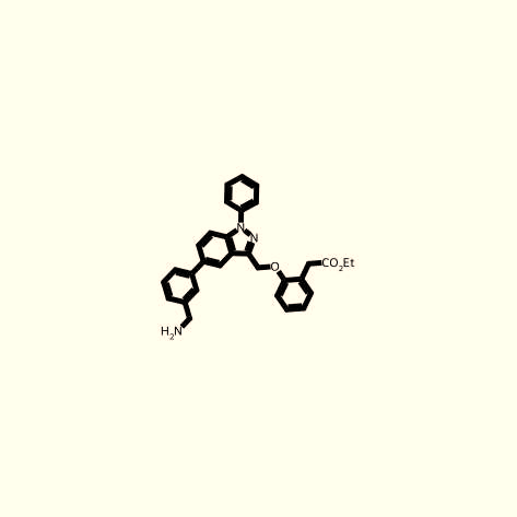 CCOC(=O)Cc1ccccc1OCc1nn(-c2ccccc2)c2ccc(-c3cccc(CN)c3)cc12